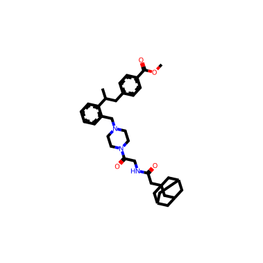 COC(=O)c1ccc(CC(C)c2ccccc2CN2CCN(C(=O)CNC(=O)CC34CC5CC(CC(C5)C3)C4)CC2)cc1